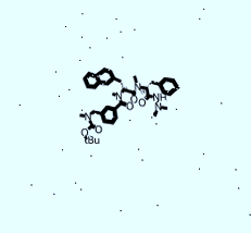 CN(C)NC(=O)[C@@H](Cc1ccccc1)N(C)C(=O)[C@@H](Cc1ccc2ccccc2c1)N(C)C(=O)c1cccc(CN(C)C(=O)OC(C)(C)C)c1